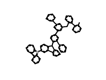 Cc1ccccc1-c1ccccc1Cc1cc(-c2ccccc2)cc(-c2ccc(C3c4ccccc4-c4cc(-n5c6ccccc6c6ccccc65)ccc43)c(-c3ccccc3)c2)c1